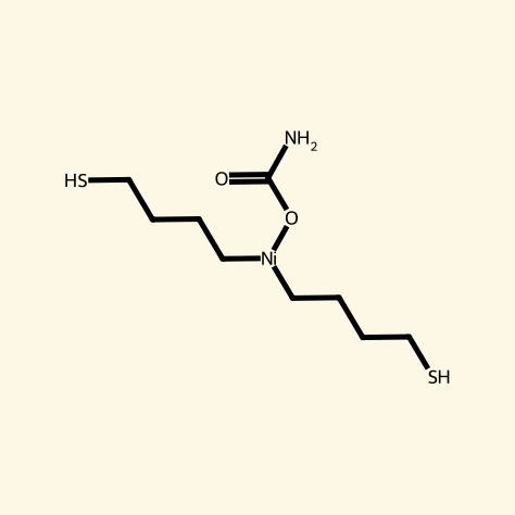 NC(=O)[O][Ni]([CH2]CCCS)[CH2]CCCS